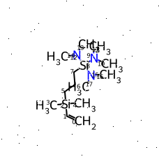 C=C[Si](C)(C)CCC[Si](N(C)C)(N(C)C)N(C)C